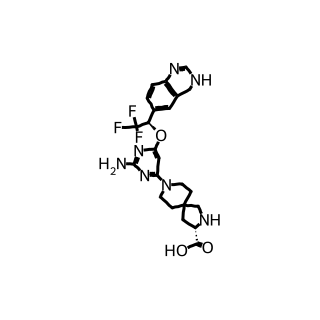 Nc1nc(O[C@H](c2ccc3c(c2)CNC=N3)C(F)(F)F)cc(N2CCC3(CC2)CN[C@H](C(=O)O)C3)n1